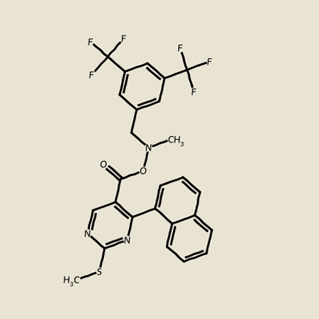 CSc1ncc(C(=O)ON(C)Cc2cc(C(F)(F)F)cc(C(F)(F)F)c2)c(-c2cccc3ccccc23)n1